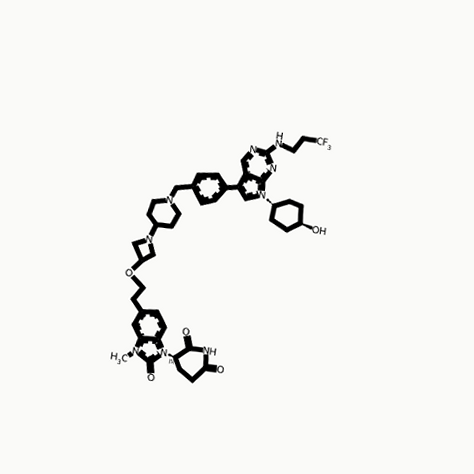 Cn1c(=O)n([C@H]2CCC(=O)NC2=O)c2ccc(CCOC3CN(C4CCN(Cc5ccc(-c6cn([C@H]7CC[C@H](O)CC7)c7nc(NCCC(F)(F)F)ncc67)cc5)CC4)C3)cc21